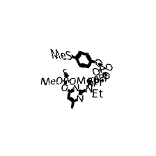 CCCOP(=O)(OCCC)Oc1ccc(SC)cc1.CCN(CC)c1nc(C)cc(OP(=S)(OC)OC)n1